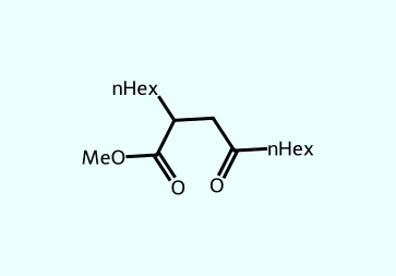 CCCCCCC(=O)CC(CCCCCC)C(=O)OC